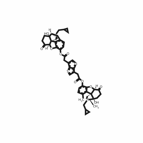 Cc1ccc(OC(=O)Cc2csc3c(CC(=O)Oc4ccc5c6c4O[C@H]4C(=O)CC[C@@]7(O)[C@@H](C5)N(CC5CC5)CC[C@]647)csc23)c2c1[C@]13CCN(CC4CC4)[C@H](C)[C@]1(O)CCC(=O)[C@@H]3O2